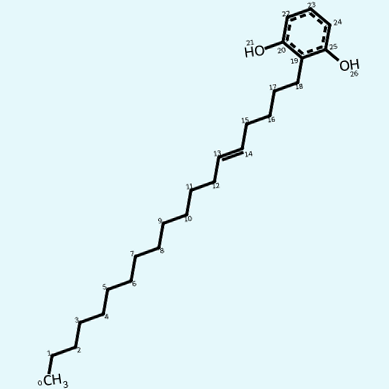 CCCCCCCCCCCCCC=CCCCCc1c(O)cccc1O